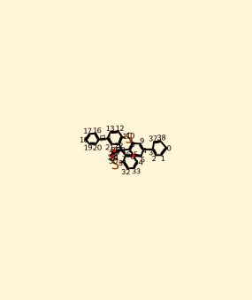 c1ccc(-c2ccc3c(c2)Sc2ccc(-c4ccccc4)cc2C32c3ccccc3Sc3ccccc32)cc1